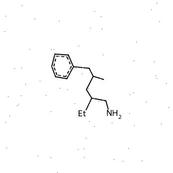 CCC(CN)CC(C)Cc1ccccc1